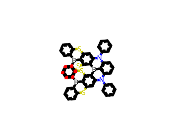 c1ccc(N2c3cccc4c3B(c3c2cc2c5c3Sc3ccccc3B5c3ccccc3S2)c2c(cc3c5c2Sc2ccccc2B5c2ccccc2S3)N4c2ccccc2)cc1